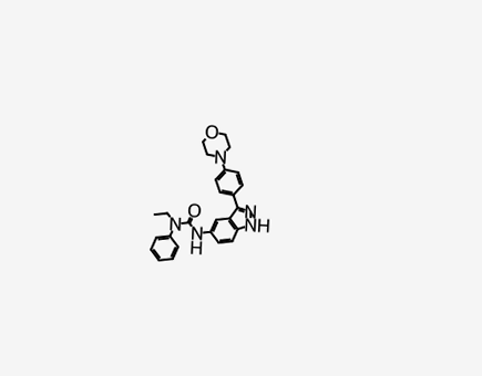 CCN(C(=O)Nc1ccc2[nH]nc(-c3ccc(N4CCOCC4)cc3)c2c1)c1ccccc1